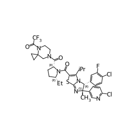 CC[C@@H]1CC[C@H](C(=O)N2CCN(C(=O)C(F)(F)F)C3(CC3)C2)N1C(=O)C1=C(C(C)C)N2C(=N[C@@](C)(c3ccc(Cl)nc3)[C@H]2c2ccc(Cl)c(F)c2)S1